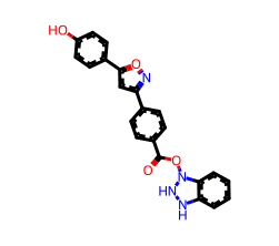 O=C(ON1NNc2ccccc21)c1ccc(-c2cc(-c3ccc(O)cc3)on2)cc1